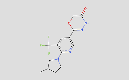 CC1CCN(c2ncc(C3=NNC(=O)CO3)cc2C(F)(F)F)C1